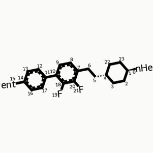 CCCCCCC[C@H]1CC[C@H](CCc2ccc(-c3ccc(CCCCC)cc3)c(F)c2F)CC1